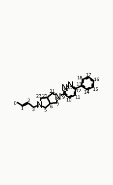 C/C=C/CN1CC2CN(c3ccc(-c4ccccc4)nn3)CC2C1